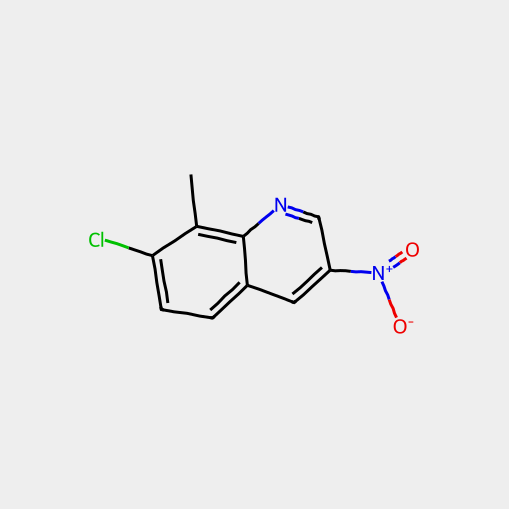 Cc1c(Cl)ccc2cc([N+](=O)[O-])cnc12